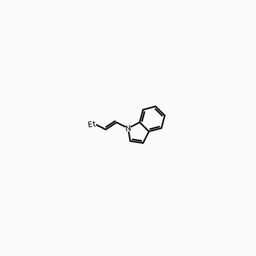 [CH2]CC=Cn1ccc2ccccc21